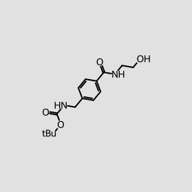 CC(C)(C)OC(=O)NCc1ccc(C(=O)NCCO)cc1